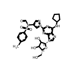 Cc1ccc(S(=O)(=O)N(C=O)c2cnn(-c3nc(NC4CCCC4)c4ncn([C@@H]5O[C@H](CO)C(O)C5O)c4n3)c2)cc1